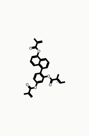 C=C(C)C(=O)Oc1ccc(-c2cccc3c(OC(=O)C(=C)C)cccc23)c(OC(=O)/C(C)=C/C)c1